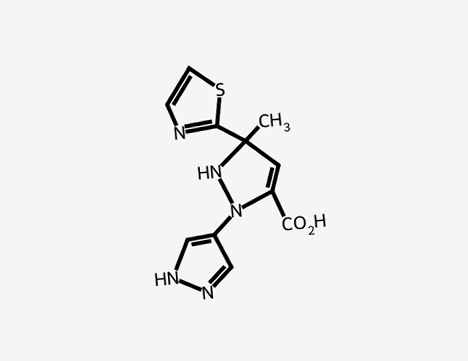 CC1(c2nccs2)C=C(C(=O)O)N(c2cn[nH]c2)N1